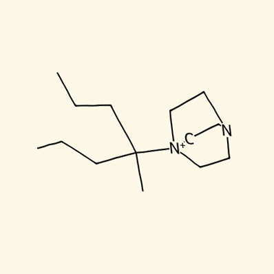 CCCC(C)(CCC)[N+]12CCN(CC1)CC2